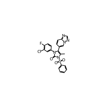 Cc1c(-c2ccc3ncnn3c2)n(-c2ccc(F)c(Cl)c2)c(=O)n1S(=O)(=O)c1ccccc1